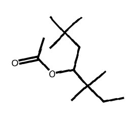 CCC(C)(C)C(CC(C)(C)C)OC(C)=O